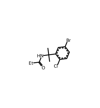 CCC(=O)NC(C)(C)c1cc(Br)ccc1Cl